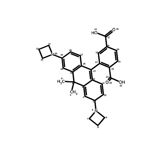 CC1(C)C2=CC(N3CCC3)C=CC2=C(c2cc(C(=O)O)ccc2C(=O)O)c2ccc(N3CCC3)cc21